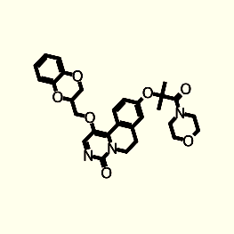 CC(C)(Oc1ccc2c(c1)CCn1c-2c(OCC2COc3ccccc3O2)cnc1=O)C(=O)N1CCOCC1